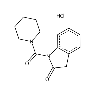 Cl.O=C1Cc2ccccc2N1C(=O)N1CCCCC1